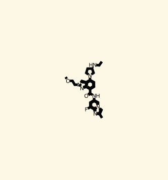 CCN[C@@H]1CCN(c2ccc(C(=O)Nc3cc(F)c4nc(C)cn4c3)c3nn(CCOC)cc23)C1